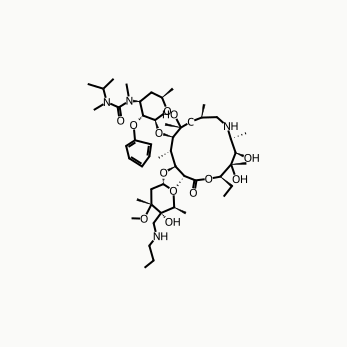 CCCNC[C@]1(O)[C@H](C)O[C@@H](O[C@H]2[C@H](C)[C@@H](O[C@@H]3O[C@H](C)C[C@H](N(C)C(=O)N(C)C(C)C)[C@H]3Oc3ccccc3)[C@](C)(O)C[C@@H](C)CN[C@H](C)[C@@H](O)[C@](C)(O)[C@@H](CC)OC(=O)[C@@H]2C)C[C@@]1(C)OC